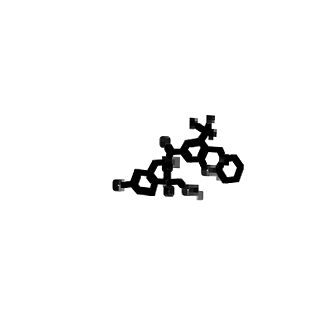 CCS(=O)(=O)c1ccc(Cl)cc1CNC(=O)c1cc(C)c(CN2CCCCC2)c(C(F)(F)F)c1